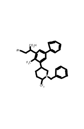 CC(C)CC(C(=O)O)c1cc(-c2ccccc2)cc(C2CCC(C(F)(F)F)N(Cc3ccccc3)C2)c1C(F)(F)F